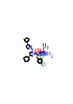 CC(N)C(=O)N[C@@H](Cc1ccc(Cl)cc1Cl)C(=O)N1C[C@@H](c2ccccc2)C[C@H]1CN1CC[C@@H](c2ccccc2)C1